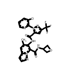 Cc1cc2ccnn2c(C(=O)NC2COC2)c1NC(=O)c1cc(C(F)(F)F)nn1-c1ncccc1Cl